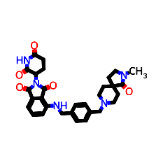 CN1CCC2(CCN(Cc3ccc(CNc4cccc5c4C(=O)N(C4CCC(=O)NC4=O)C5=O)cc3)CC2)C1=O